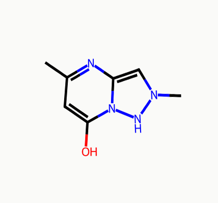 CC1=NC2=CN(C)NN2C(O)=C1